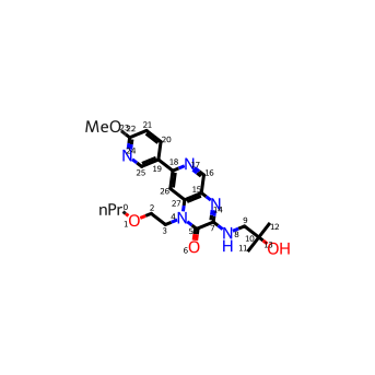 CCCOCCn1c(=O)c(NCC(C)(C)O)nc2cnc(-c3ccc(OC)nc3)cc21